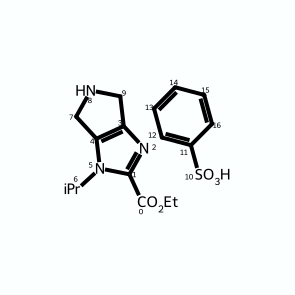 CCOC(=O)c1nc2c(n1C(C)C)CNC2.O=S(=O)(O)c1ccccc1